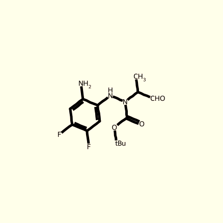 CC(C=O)N(Nc1cc(F)c(F)cc1N)C(=O)OC(C)(C)C